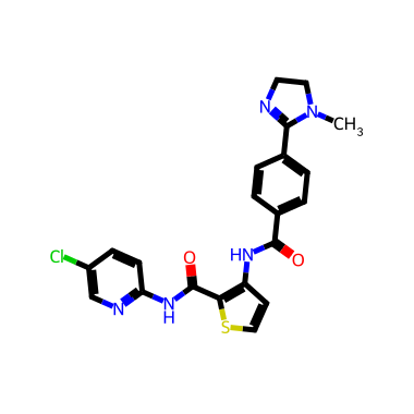 CN1CCN=C1c1ccc(C(=O)Nc2ccsc2C(=O)Nc2ccc(Cl)cn2)cc1